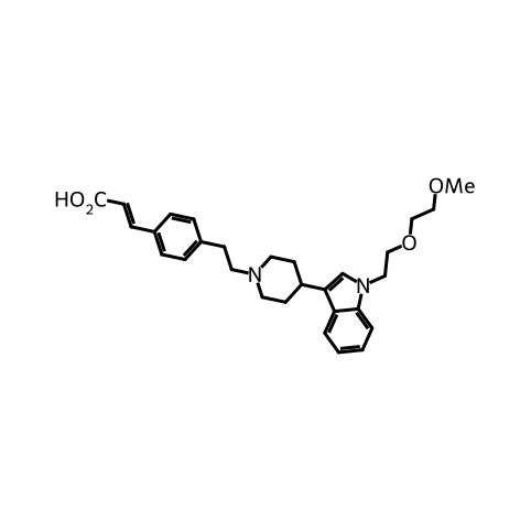 COCCOCCn1cc(C2CCN(CCc3ccc(C=CC(=O)O)cc3)CC2)c2ccccc21